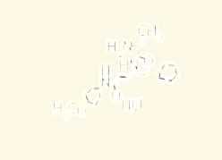 CC[C@H](N)C(=O)N[C@H](C=CC(=O)Nc1ccc(OC)cc1)CCc1ccccc1.Cl